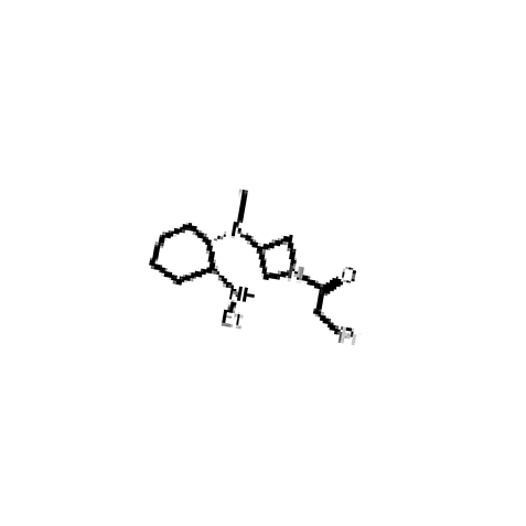 CCN[C@H]1CCCC[C@@H]1N(C)C1CN(C(=O)CC(C)C)C1